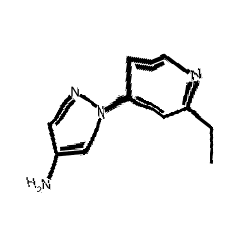 CCc1cc(-n2cc(N)cn2)ccn1